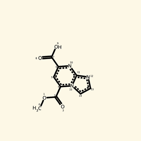 COC(=O)c1cc(C(=O)O)nc2nccn12